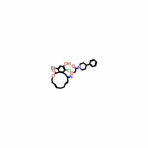 CCc1cc(O)c(Cl)c2c1C(=O)OCC/C=C/CC/C=C/C(=N/OCC(=O)N1CCC(c3ccccc3)CC1)C2